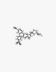 N#Cc1ccc(-c2cc3c(CN4CCC(N)C4)coc3cc2-c2cccc([N+](=O)[O-])c2)cc1